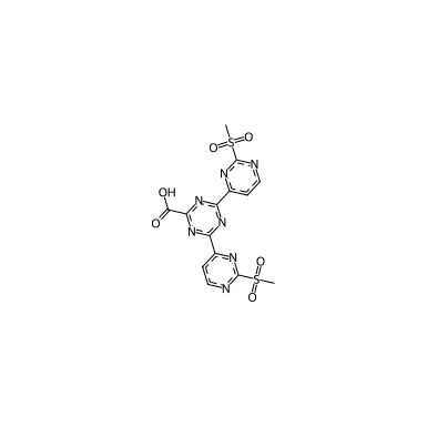 CS(=O)(=O)c1nccc(-c2nc(C(=O)O)nc(-c3ccnc(S(C)(=O)=O)n3)n2)n1